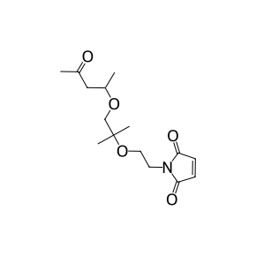 CC(=O)CC(C)OCC(C)(C)OCCN1C(=O)C=CC1=O